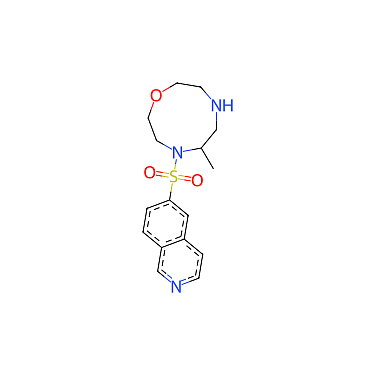 CC1CNCCOCCN1S(=O)(=O)c1ccc2cnccc2c1